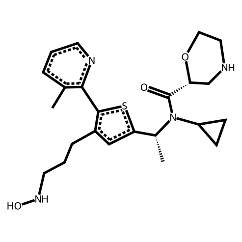 Cc1cccnc1-c1sc([C@@H](C)N(C(=O)[C@H]2CNCCO2)C2CC2)cc1CCCNO